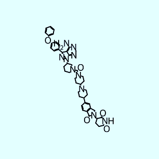 Nc1ncnc2c1c(-c1ccc(Oc3ccccc3)cc1)nn2C1CCCN(C(=O)N2CCC(N3CCC(c4ccc5c(c4)CN(C4CCC(=O)NC4=O)C5=O)CC3)CC2)C1